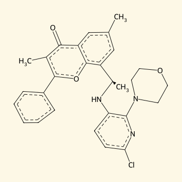 Cc1cc([C@@H](C)Nc2ccc(Cl)nc2N2CCOCC2)c2oc(-c3ccccc3)c(C)c(=O)c2c1